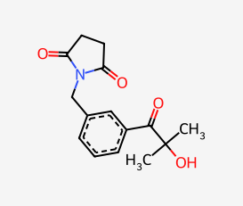 CC(C)(O)C(=O)c1cccc(CN2C(=O)CCC2=O)c1